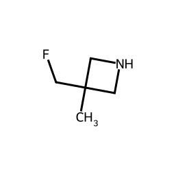 CC1(CF)CNC1